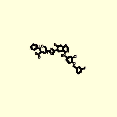 CCC(NC(Cc1ccccn1)=S(=O)=O)c1nc(-c2cc3c(Nc4ccc(OCc5cccc(F)c5)c(Cl)c4)ncnc3cc2F)cs1